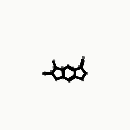 CN1C(=O)Cc2cc3c(cc21)C(=O)CC3